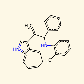 C=C(c1c[nH]c2c1=CCC=CC=2)C(Nc1ccccc1C)c1ccccc1